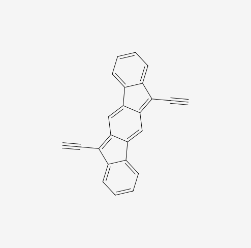 C#CC1=c2cc3c(cc2-c2ccccc21)=C(C#C)c1ccccc1-3